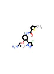 Cc1ccc(C(=O)Nc2ccc(OCCN)c(-c3c(Cl)cnn3C)c2)s1